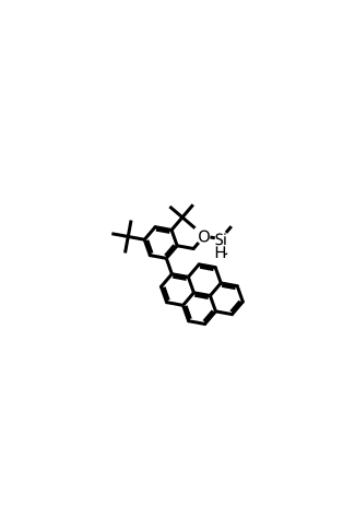 C[SiH](C)OCc1c(-c2ccc3ccc4cccc5ccc2c3c45)cc(C(C)(C)C)cc1C(C)(C)C